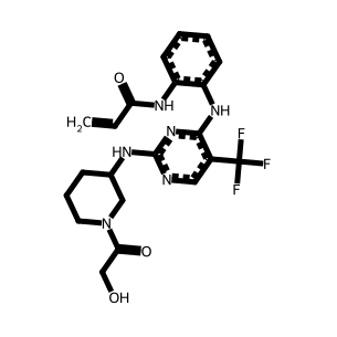 C=CC(=O)Nc1ccccc1Nc1nc(NC2CCCN(C(=O)CO)C2)ncc1C(F)(F)F